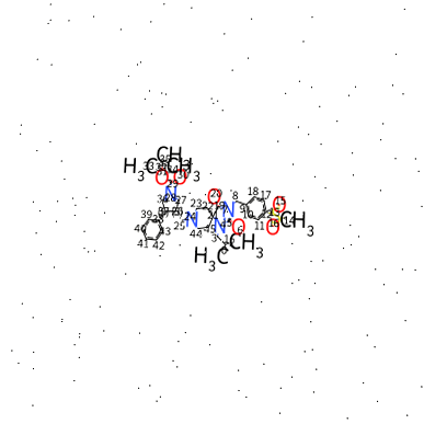 CC(C)CN1C(=O)N(Cc2ccc(S(C)(=O)=O)cc2)C(=O)C12CCN(C[C@H]1CN(C(=O)OC(C)(C)C)C[C@@H]1c1ccccc1)CC2